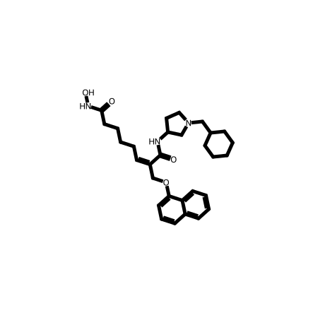 O=C(CCCCC=C(COc1cccc2ccccc12)C(=O)NC1CCN(CC2CCCCC2)C1)NO